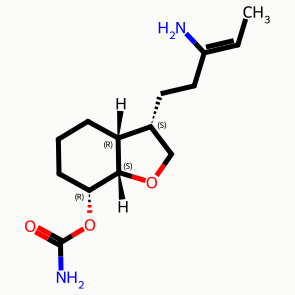 CC=C(N)CC[C@@H]1CO[C@H]2[C@@H]1CCC[C@H]2OC(N)=O